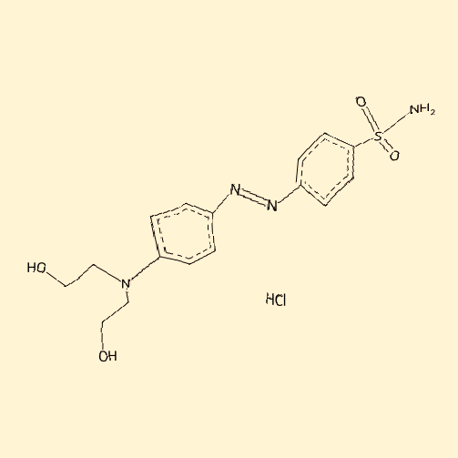 Cl.NS(=O)(=O)c1ccc(N=Nc2ccc(N(CCO)CCO)cc2)cc1